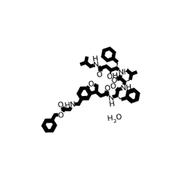 CC(C)CNC(=O)C[C@H](O)[C@H](CC1CCCCC1)NC(=O)[C@H](CC(C)C)NC(=O)[C@H](Cc1ccccc1)NC(=O)CC1COc2ccc(CNCC(=O)OCc3ccccc3)cc21.O